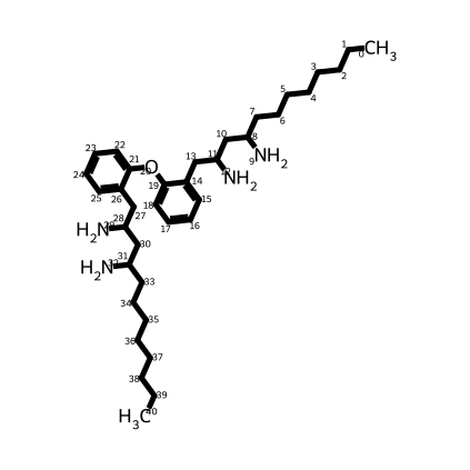 CCCCCCCCC(N)CC(N)Cc1ccccc1Oc1ccccc1CC(N)CC(N)CCCCCCCC